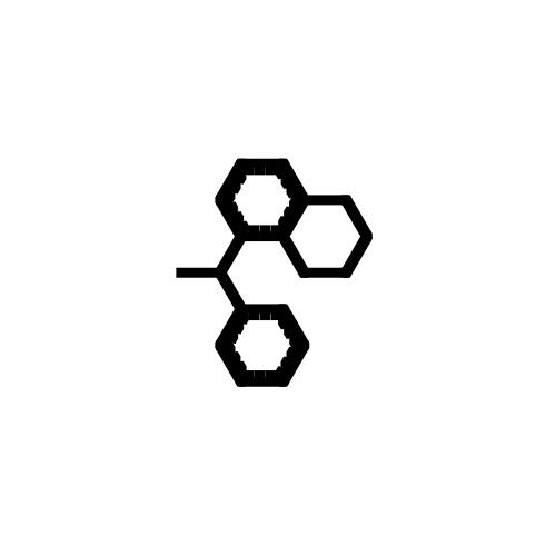 CC(c1ccccc1)c1cccc2c1CCCC2